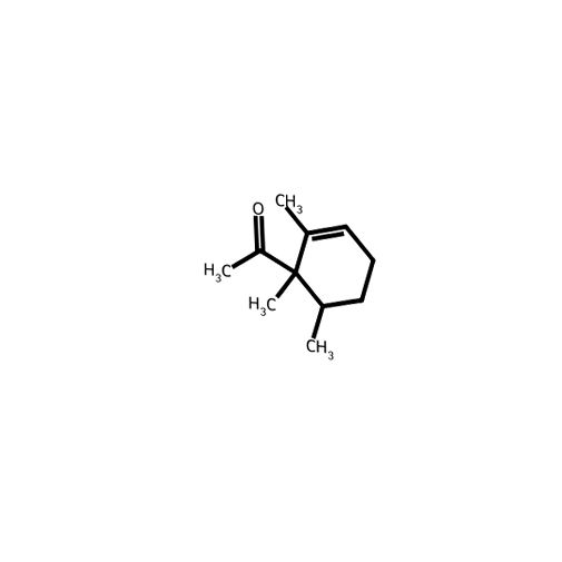 CC(=O)C1(C)C(C)=CCCC1C